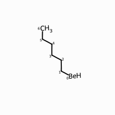 [BeH][CH2]CCCCC